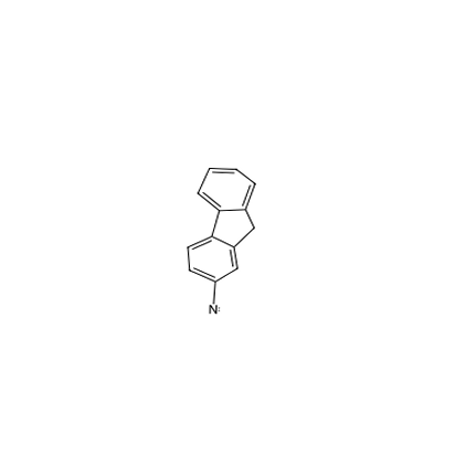 [N]c1ccc2c(c1)Cc1ccccc1-2